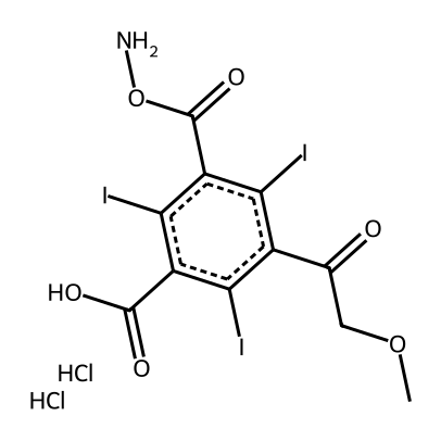 COCC(=O)c1c(I)c(C(=O)O)c(I)c(C(=O)ON)c1I.Cl.Cl